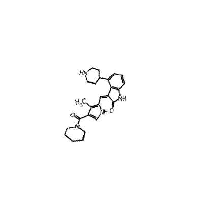 Cc1c(C(=O)N2CCCCC2)c[nH]c1C=C1C(=O)Nc2cccc(C3CCNCC3)c21